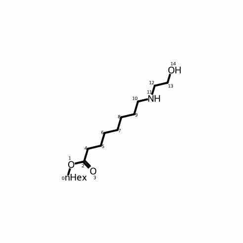 CCCCCCOC(=O)CCCCCCCNCCO